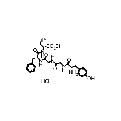 CCOC(=O)[C@H](CC(C)C)NC(=O)[C@H](Cc1ccccc1)NC(=O)CNC(=O)CNC(=O)[C@@H](N)Cc1ccc(O)cc1.Cl